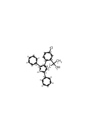 CC(C)(O)c1cc(Cl)ccc1-c1cc(-c2ccccc2)sc1-c1ccccc1